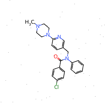 CN1CCN(c2ccc(CN(C(=O)c3ccc(Cl)cc3)c3ccccc3)cn2)CC1